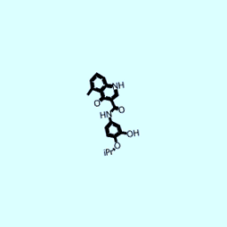 Cc1cccc2[nH]cc(C(=O)Nc3ccc(OC(C)C)c(O)c3)c(=O)c12